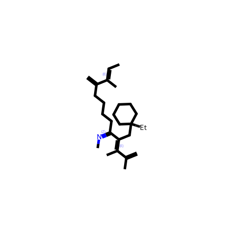 C=C(CCCCC(=N/C)/C(CC1(CC)CCCCC1)=C(\C)C(=C)C)/C(C)=C/C